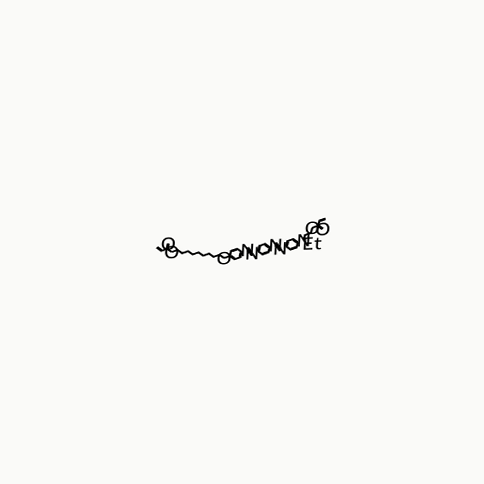 C=CC(=O)OCCCCCCCCCOc1ccc(N=Nc2ccc(N=Nc3ccc(N(CC)CCOC(=O)C=C)cc3)cc2)cc1